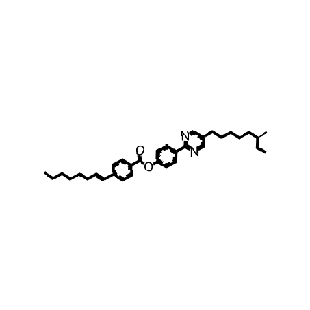 CCCCCC/C=C/c1ccc(C(=O)Oc2ccc(-c3ncc(CCCCC[C@@H](C)CC)cn3)cc2)cc1